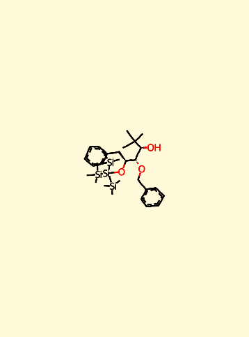 CC(C)(C)[C@@H](O)[C@H](OCc1ccccc1)[C@H](Cc1ccccc1)O[Si]([Si](C)(C)C)([Si](C)(C)C)[Si](C)(C)C